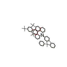 CC(C)(C)c1cc(C(C)(C)C)c2c(c1)C(C)(C)c1cccc(-c3ccccc3N(c3ccc4c(c3)C(C)(c3ccccc3)c3ccccc3-4)c3ccccc3-c3ccccc3)c1-2